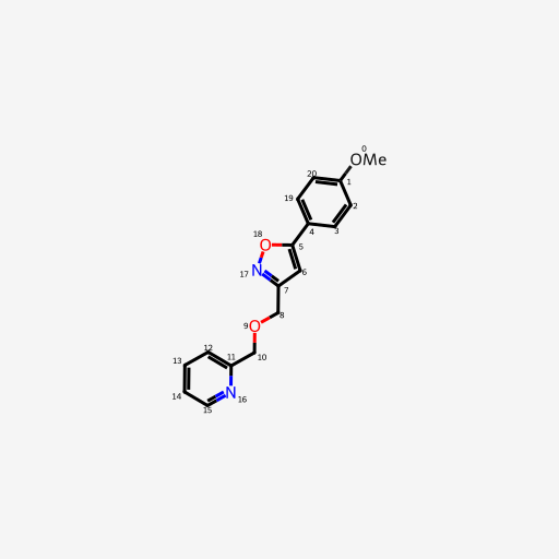 COc1ccc(-c2cc(COCc3ccccn3)no2)cc1